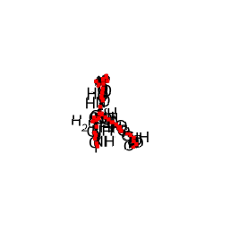 NC(=O)[C@H](CCCCNC(=O)c1ccc(NC(=O)CI)cc1)NC(=O)[C@H](CCCCNC(=O)CONC(=O)OCC1c2ccccc2-c2ccccc21)NC(=O)COCCOCCNC(=O)COCCOCCNC(=O)ON1C(=O)CCC1=O